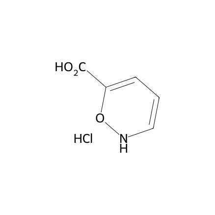 Cl.O=C(O)C1=CC=CNO1